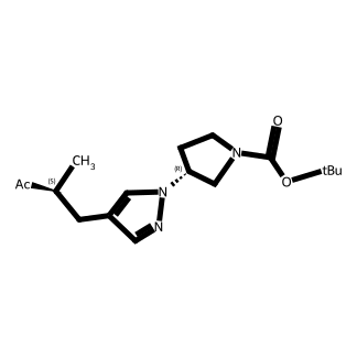 CC(=O)[C@@H](C)Cc1cnn([C@@H]2CCN(C(=O)OC(C)(C)C)C2)c1